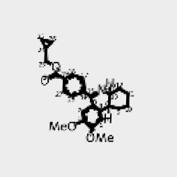 COc1cc2c(cc1OC)[C@H]1CCCC[C@H]1N=C2c1ccc(C(=O)OCC2CC2)cc1